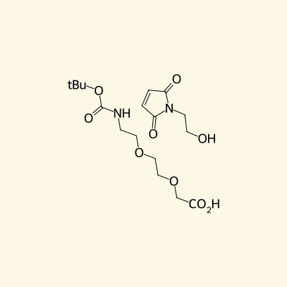 CC(C)(C)OC(=O)NCCOCCOCC(=O)O.O=C1C=CC(=O)N1CCO